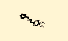 CC1(C)COC(CCOCc2ccccc2)OC1